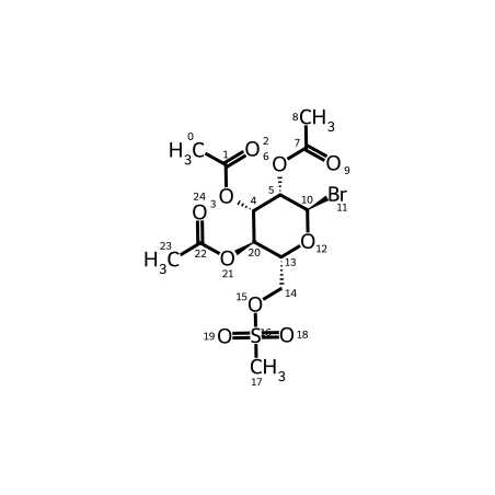 CC(=O)O[C@@H]1[C@H](OC(C)=O)[C@@H](Br)O[C@H](COS(C)(=O)=O)[C@H]1OC(C)=O